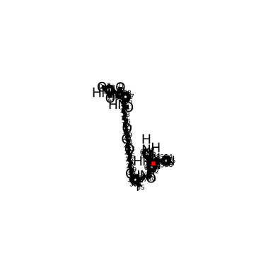 O=C1CCC(N2Cc3c(NC(=O)CCCCCOCCOCCOCCCCCCOc4ccc(F)c(CNC(=O)c5cccc(NC6(c7nnc(-c8ccncc8)[nH]7)CCNCC6)c5)c4)cccc3C2=O)C(=O)N1